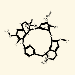 COc1cc2c3cc1Oc1cc(ccc1O)C[C@@H]1c4c(cc(OC)c(O)c4Oc4ccc(cc4)C[C@@H]3N(C)CC2)CC[N+]1(C)C.Cl.O.[Cl-]